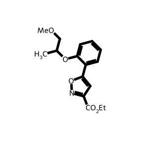 CCOC(=O)c1cc(-c2ccccc2OC(C)COC)on1